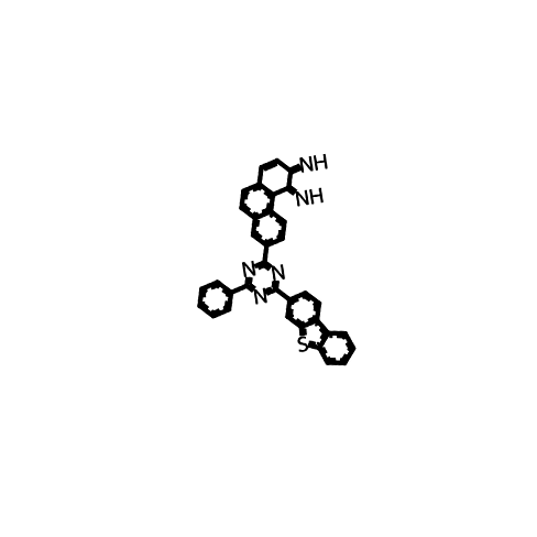 N=C1C=Cc2ccc3cc(-c4nc(-c5ccccc5)nc(-c5ccc6c(c5)sc5ccccc56)n4)ccc3c2C1=N